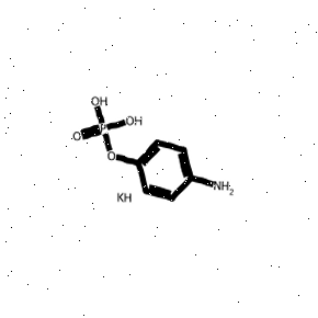 Nc1ccc(OP(=O)(O)O)cc1.[KH]